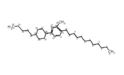 CCCCCCCCCCCCc1cnc(C2CCC(CCCCC)CC2)nc1C